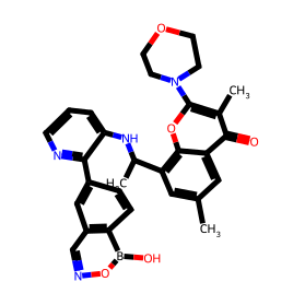 Cc1cc(C(C)Nc2cccnc2-c2ccc3c(c2)C=NOB3O)c2oc(N3CCOCC3)c(C)c(=O)c2c1